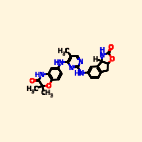 Cc1cnc(Nc2ccc3c(c2)[C@@H]2NC(=O)OC2C3)nc1Nc1ccc2c(c1)NC(=O)C(C)(C)O2